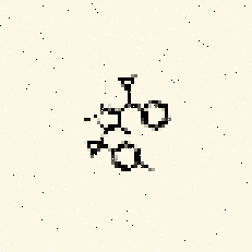 Cc1c(C(c2ccccc2)C2CC2)n[nH]c1C1(c2ccc(F)cc2)CC1